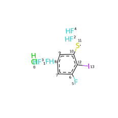 Cl.F.F.F.F.Fc1cccc([S])c1I